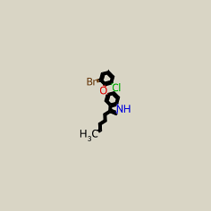 CCCCCc1c[nH]c2ccc(Oc3c(Cl)c[c]cc3Br)cc12